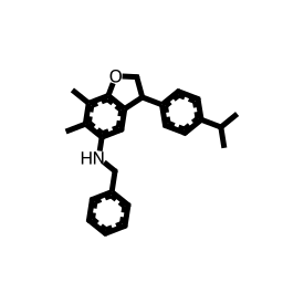 Cc1c(NCc2ccccc2)cc2c(c1C)OCC2c1ccc(C(C)C)cc1